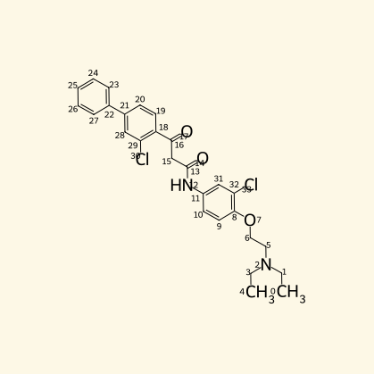 CCN(CC)CCOc1ccc(NC(=O)CC(=O)c2ccc(-c3ccccc3)cc2Cl)cc1Cl